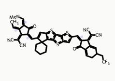 C/C=C1/C(=C(C#N)C#N)/C(=C/C2=Cc3sc4c(sc5cc(/C=C6\C(=O)C7=CCC(CC(F)(F)F)C=C7C6=C(C#N)C#N)sc54)c3C23CCCCC3)C(=O)/C1=C/NC